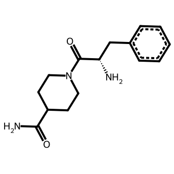 NC(=O)C1CCN(C(=O)[C@@H](N)Cc2ccccc2)CC1